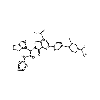 O=C(Nc1nccs1)C(c1ncn2c1CCC2)N1Cc2c(cc(-c3ccc([C@@H]4CCN(C(=O)O)C[C@H]4F)cc3)cc2C(F)F)C1=O